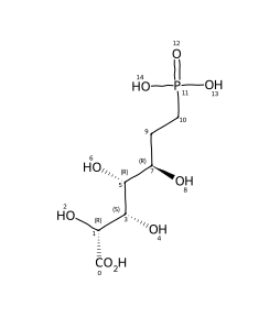 O=C(O)[C@H](O)[C@@H](O)[C@H](O)[C@H](O)CCP(=O)(O)O